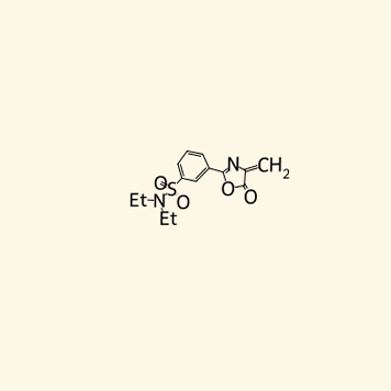 C=C1N=C(c2cccc(S(=O)(=O)N(CC)CC)c2)OC1=O